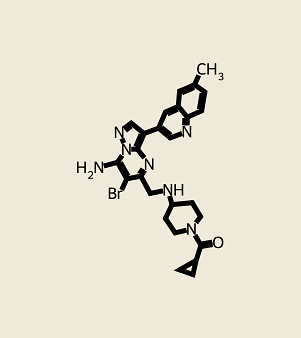 Cc1ccc2ncc(-c3cnn4c(N)c(Br)c(CNC5CCN(C(=O)C6CC6)CC5)nc34)cc2c1